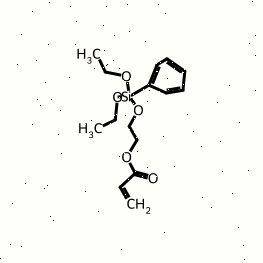 C=CC(=O)OCCO[Si](OCC)(OCC)c1ccccc1